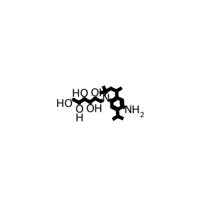 CC(C)c1cc2c(cc1N)C(C)CC(C)(C)N2CC(O)C(O)C(O)C(O)CO